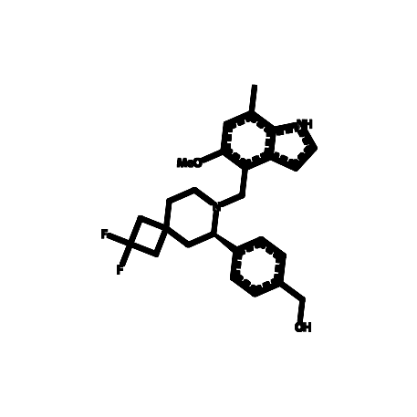 COc1cc(C)c2[nH]ccc2c1CN1CCC2(C[C@@H]1c1ccc(CO)cc1)CC(F)(F)C2